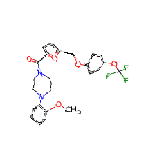 COc1ccccc1N1CCN(C(=O)c2ccc(COc3ccc(OC(F)(F)F)cc3)o2)CC1